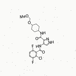 COCOC1CCC(NC(=O)c2n[nH]cc2NC(=O)c2c(F)ccc(F)c2Cl)CC1